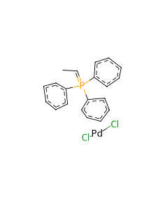 CC=P(c1ccccc1)(c1ccccc1)c1ccccc1.[Cl][Pd][Cl]